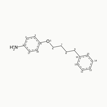 Nc1ccc(OCCCCc2ccccc2)cc1